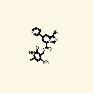 CCCc1cc(C)[nH]c(=O)c1CNC(=O)c1cc(-c2cccnc2)cc2c(C(C)C)ncn12